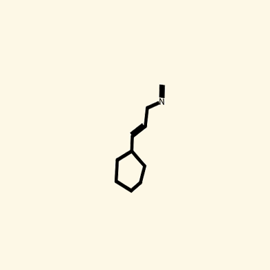 C=NCC=CC1CCCCC1